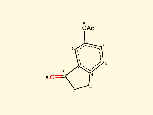 CC(=O)Oc1ccc2c(c1)C(=O)CC2